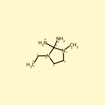 CCN1CCN(C)C1(N)N